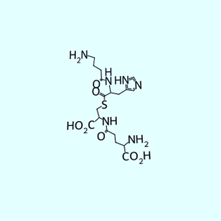 NCCCC(=O)NC(Cc1cnc[nH]1)C(=O)SCC(NC(=O)CCC(N)C(=O)O)C(=O)O